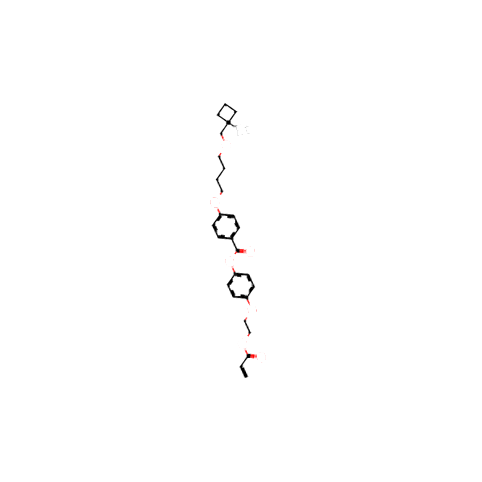 C=CC(=O)OCCOc1ccc(OC(=O)c2ccc(OCCCCOCC3(CC)CCC3)cc2)cc1